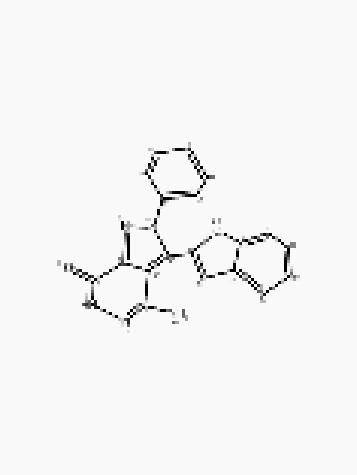 Nc1n[nH]c(=O)c2nn(-c3ccccc3)c(-c3cc4ccccc4o3)c12